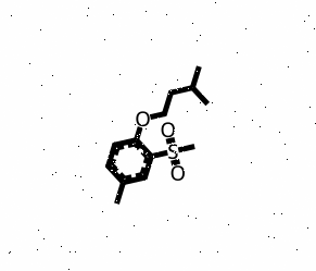 Cc1ccc(OCCC(C)C)c(S(C)(=O)=O)c1